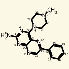 CN1CCN(c2nc(N)nc3ncc(-c4ccccc4)nc23)CC1